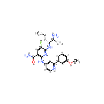 CCC[C@@H](Nc1nc(Nc2ccnc(-c3cccc(OC)c3)c2)c(C(N)=O)cc1F)[C@H](C)N